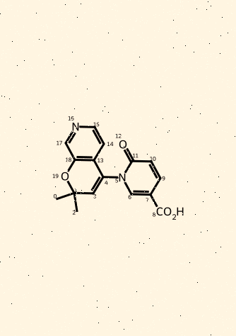 CC1(C)C=C(n2cc(C(=O)O)ccc2=O)c2ccncc2O1